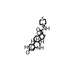 C[C@]12CCC(=O)C=C1NC[C@@H]1[C@H]2CC[C@]2(C)C(C(=O)NN3CCSCC3)CC[C@@H]12